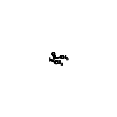 CC=O.CI